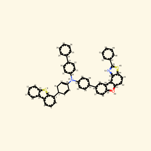 C1=CC(c2cccc3c2sc2ccccc23)CC=C1N(c1ccc(-c2ccccc2)cc1)c1ccc(-c2ccc3oc4ccc5sc(-c6ccccc6)nc5c4c3c2)cc1